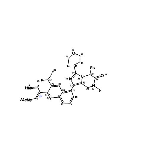 CN/C=C(\C=N)c1nc2cccc(-c3nc(C4CCOCC4)n4c3CN(C)C(=O)C4F)c2cc1C(F)F